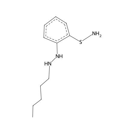 CCCCCNNc1ccccc1SN